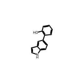 Oc1ccc[c]c1-c1ccc2[nH]ccc2c1